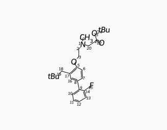 CN(CCOc1ccc(-c2ccccc2F)cc1CC(C)(C)C)CC(=O)OC(C)(C)C